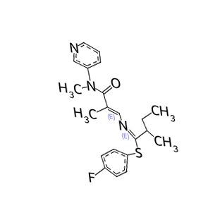 CCC(C)/C(=N\C=C(/C)C(=O)N(C)c1cccnc1)Sc1ccc(F)cc1